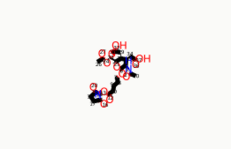 CC(=O)N[C@H]1[C@H](OCCCCC(=O)ON2C(=O)CCC2=O)O[C@@H](COC(C)=O)[C@H](CC(=O)O)[C@H]1CC(=O)O